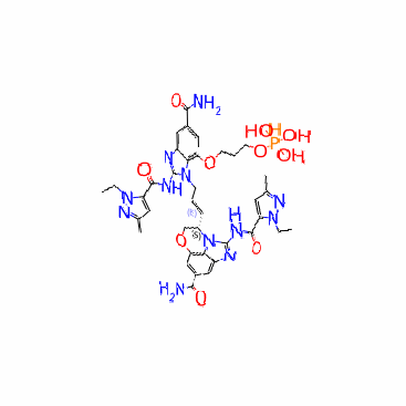 CCn1nc(C)cc1C(=O)Nc1nc2cc(C(N)=O)cc(OCCCO[PH](O)(O)O)c2n1C/C=C/[C@H]1COc2cc(C(N)=O)cc3nc(NC(=O)c4cc(C)nn4CC)n1c23